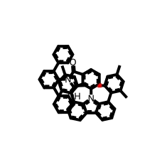 Cc1cc(C)c(-c2cccc3c4cccc(-c5c(C)cc(C)cc5C)c4n(-c4cccc5c4C(O)N(c4c(-c6ccccc6)cccc4-c4ccccc4)C5=O)c23)c(C)c1